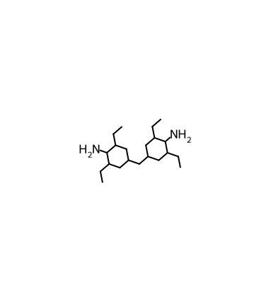 CCC1CC(CC2CC(CC)C(N)C(CC)C2)CC(CC)C1N